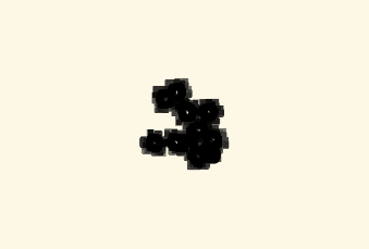 c1ccc(-c2ccc(N(c3ccc(-c4ccccc4-c4cccc(-c5cccc6ccccc56)c4)cc3)c3cccc4oc5ccccc5c34)cc2)cc1